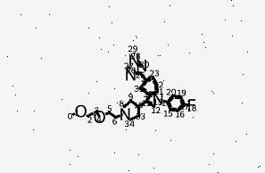 COCCOCCN1CCC(c2cn(-c3ccc(F)cc3)c3ccc(-c4ncn(C)n4)cc23)CC1